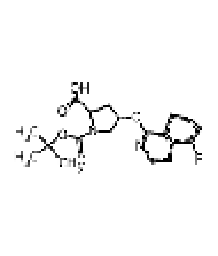 CC(C)(C)OC(=O)N1CC(Oc2nccc3c(F)cccc23)CC1C(=O)O